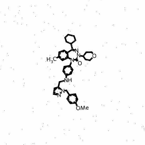 COc1ccc(Cn2nccc2CNc2ccc(N3C(=O)N(C4CCOCC4)N=C(C4CCCCC4)c4ccc(C)cc43)cc2)cc1